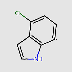 Clc1cc[c]c2[nH]ccc12